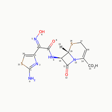 Nc1nc(/C(=N/O)C(=O)N[C@@H]2C(=O)N3C(C(=O)O)=CCS[C@@H]23)cs1